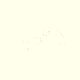 C[C@@H](Oc1ccc2c(c1)OCc1ccc(-c3cc(N)ncn3)cc1-2)C(=O)N1CCOCC1